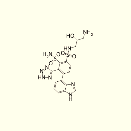 NC[C@@H](O)CNS(=O)(=O)c1ccc(-c2cccc3[nH]cnc23)c(-c2nn[nH]n2)c1S(N)(=O)=O